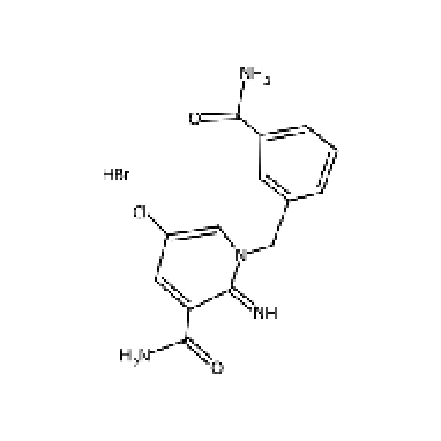 Br.N=c1c(C(N)=O)cc(Cl)cn1Cc1cccc(C(N)=O)c1